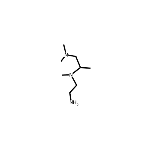 CC(CN(C)C)N(C)CCN